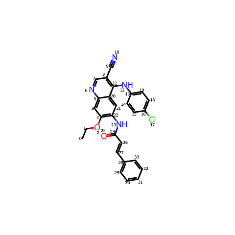 CCOc1cc2ncc(C#N)c(Nc3ccc(Cl)cc3)c2cc1NC(=O)/C=C/c1ccccc1